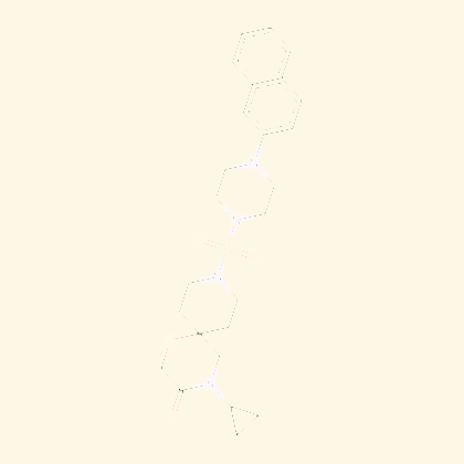 O=C1COC2(CCN(S(=O)(=O)N3CCN(c4ccc5ccccc5c4)CC3)CC2)CN1C1CC1